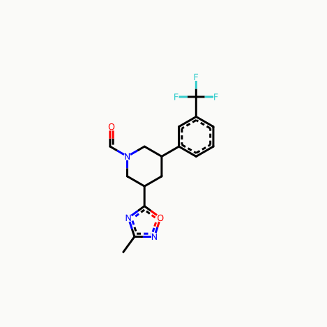 Cc1noc(C2CC(c3cccc(C(F)(F)F)c3)CN(C=O)C2)n1